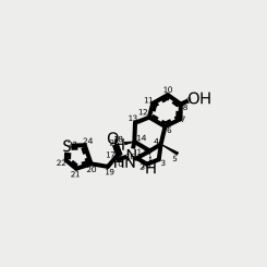 CN1CC[C@@]2(C)c3cc(O)ccc3C[C@@H]1[C@@H]2NC(=O)Cc1ccsc1